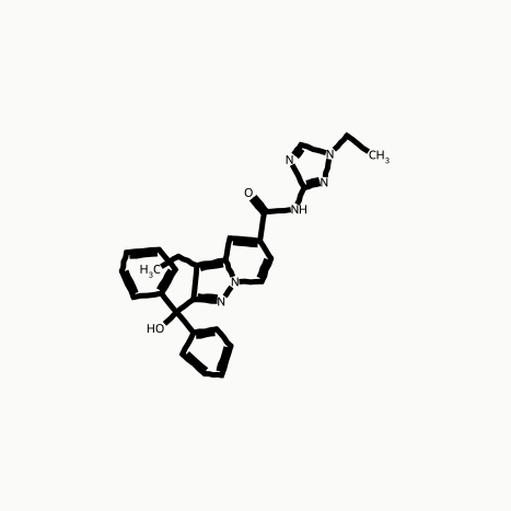 CCc1c(C(O)(c2ccccc2)c2ccccc2)nn2ccc(C(=O)Nc3ncn(CC)n3)cc12